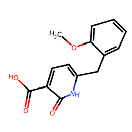 COc1ccccc1Cc1ccc(C(=O)O)c(=O)[nH]1